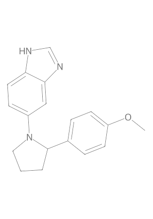 COc1ccc(C2CCCN2c2ccc3[nH]cnc3c2)cc1